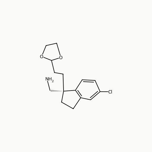 NC[C@@]1(CCC2OCCO2)CCc2cc(Cl)ccc21